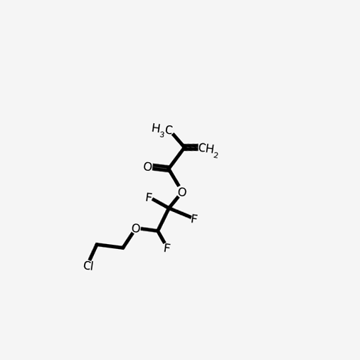 C=C(C)C(=O)OC(F)(F)C(F)OCCCl